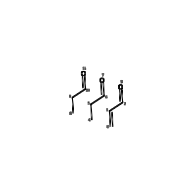 C=CC=O.CCC=O.CCC=O